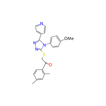 COc1ccc(-n2c(SCC(=O)c3ccc(C)cc3C)nnc2-c2ccncc2)cc1